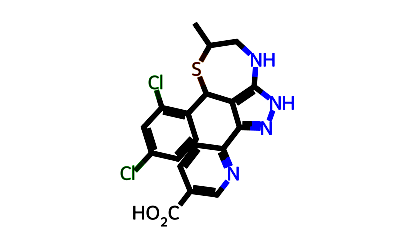 CC1CNc2[nH]nc(-c3ccc(C(=O)O)cn3)c2C(c2ccc(Cl)cc2Cl)S1